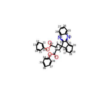 O=C(CCC1(CCC(=O)Oc2ccccc2)c2ccccc2-c2nc3ccccc3nc21)Oc1ccccc1